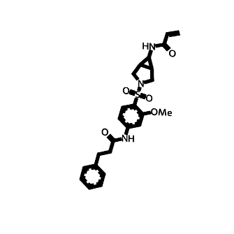 C=CC(=O)NC1C2CN(S(=O)(=O)c3ccc(NC(=O)CCc4ccccc4)cc3OC)CC21